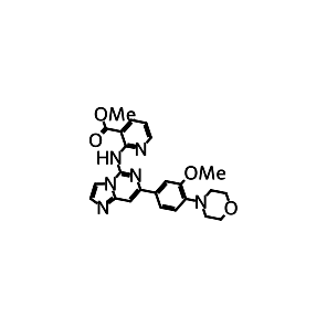 COC(=O)c1cccnc1Nc1nc(-c2ccc(N3CCOCC3)c(OC)c2)cc2nccn12